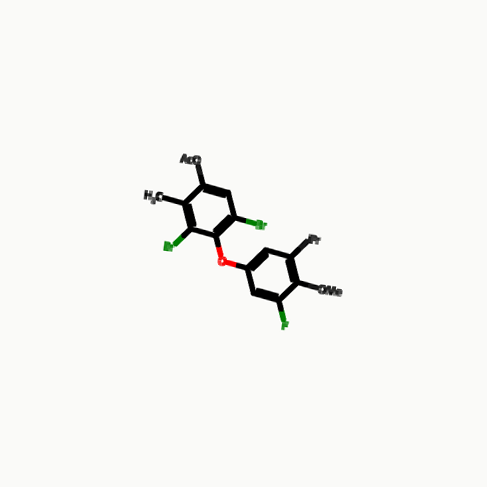 COc1c(F)cc(Oc2c(Br)cc(OC(C)=O)c(C)c2Br)cc1C(C)C